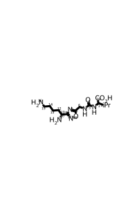 CC(C)C(NC(=O)NCc1nc([C@@H](N)CCCCN)no1)C(=O)O